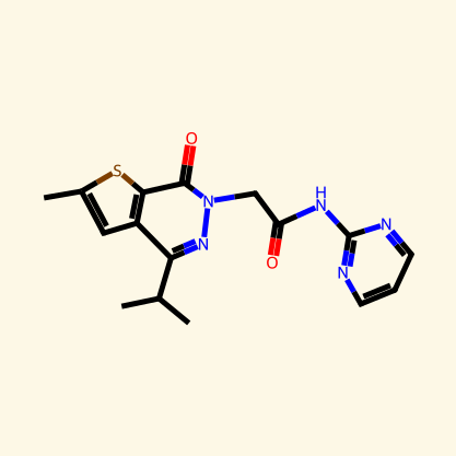 Cc1cc2c(C(C)C)nn(CC(=O)Nc3ncccn3)c(=O)c2s1